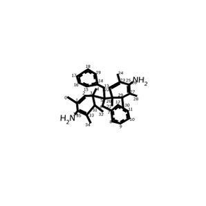 CC1=CC(C)(C(Cc2ccccc2)(Cc2ccccc2)C2(C)C=C(C)C(N)=C(C)C2C)C(C)C(C)=C1N